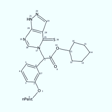 CCCCCOc1cccc(C(C(=O)OC2CCCCC2)n2cnc3[nH]ncc3c2=S)c1